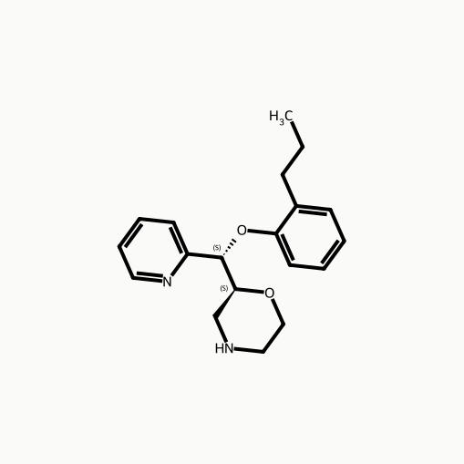 CCCc1ccccc1O[C@@H](c1ccccn1)[C@@H]1CNCCO1